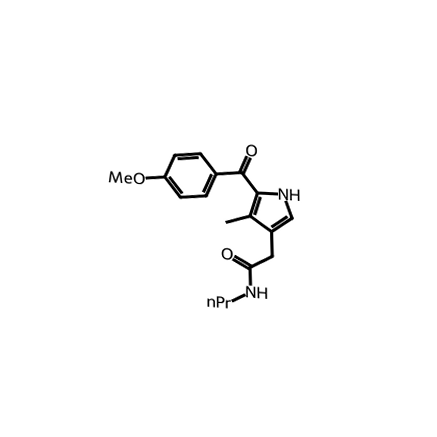 CCCNC(=O)Cc1c[nH]c(C(=O)c2ccc(OC)cc2)c1C